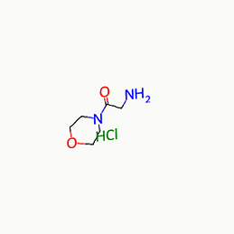 Cl.NCC(=O)N1CCOCC1